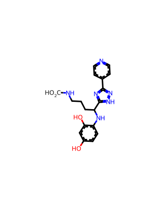 O=C(O)NCCCC(Nc1ccc(O)cc1O)c1nc(-c2ccncc2)n[nH]1